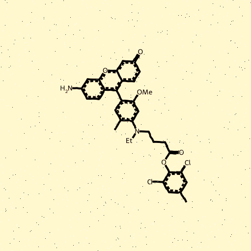 CCN(CCCC(=O)Oc1c(Cl)cc(C)cc1Cl)c1cc(OC)c(-c2c3ccc(=O)cc-3oc3cc(N)ccc23)cc1C